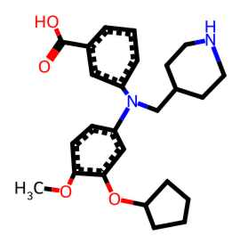 COc1ccc(N(CC2CCNCC2)c2cccc(C(=O)O)c2)cc1OC1CCCC1